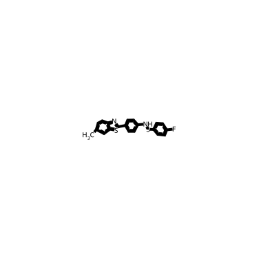 Cc1ccc2nc(-c3ccc(NSc4ccc(F)cc4)cc3)sc2c1